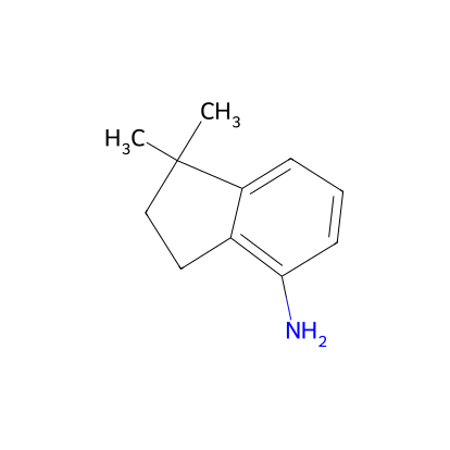 CC1(C)CCc2c(N)cccc21